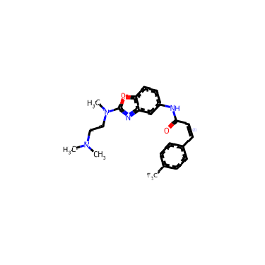 CN(C)CCN(C)c1nc2cc(NC(=O)/C=C\c3ccc(C(F)(F)F)cc3)ccc2o1